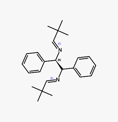 CC(C)(C)/C=N/C(c1ccccc1)[C@H](/N=C/C(C)(C)C)c1ccccc1